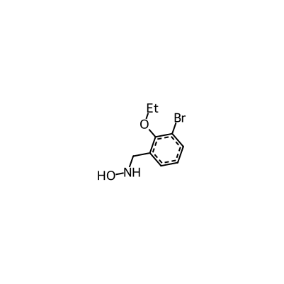 CCOc1c(Br)cccc1CNO